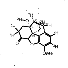 [2H]O[C@@]12CC([2H])([2H])C(=O)C3Oc4c(OC)c([2H])c([2H])c5c4[C@@]31CCN(C)[C@]2([2H])C5([2H])[2H]